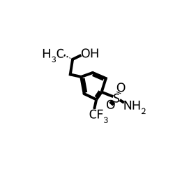 C[C@H](O)Cc1ccc(S(N)(=O)=O)c(C(F)(F)F)c1